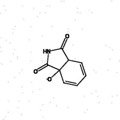 [O]C12C=CC=CC1C(=O)NC2=O